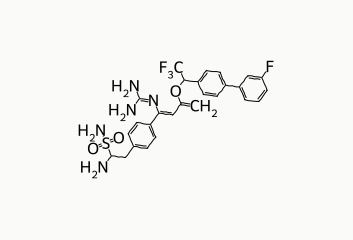 C=C(/C=C(\N=C(N)N)c1ccc(CC(N)S(N)(=O)=O)cc1)OC(c1ccc(-c2cccc(F)c2)cc1)C(F)(F)F